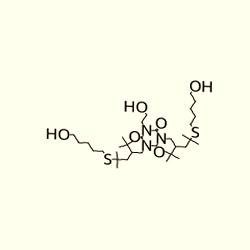 CC(C)(CC(Cn1c(=O)n(CCO)c(=O)n(CC(CC(C)(C)SCCCCCO)C(C)(C)C)c1=O)C(C)(C)C)SCCCCCO